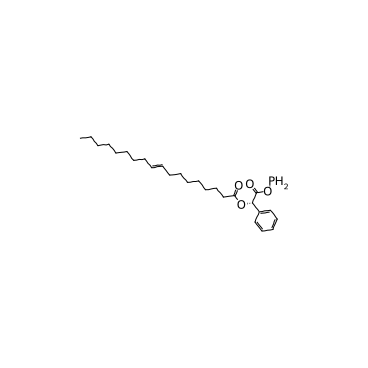 CCCCCCCC/C=C/CCCCCCCC(=O)O[C@H](C(=O)OP)c1ccccc1